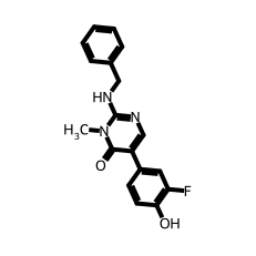 Cn1c(NCc2ccccc2)ncc(-c2ccc(O)c(F)c2)c1=O